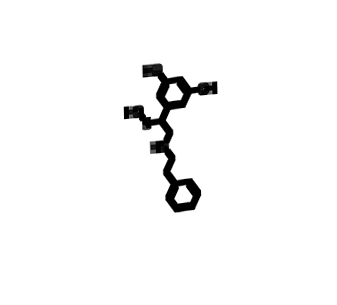 OSC(CNCCc1ccccc1)c1cc(O)cc(O)c1